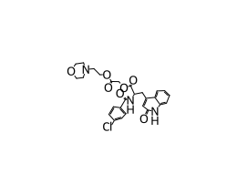 O=C(COC(=O)C(Cc1cc(=O)[nH]c2ccccc12)NC(=O)c1ccc(Cl)cc1)OCCN1CCOCC1